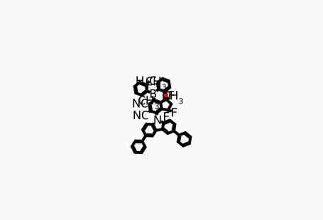 Cc1cccc(C)c1B(c1c(C)cccc1C)c1c(C#N)c(C#N)c(-n2c3ccc(-c4ccccc4)cc3c3cc(-c4ccccc4)ccc32)c2c1C(F)(F)CC2(F)F